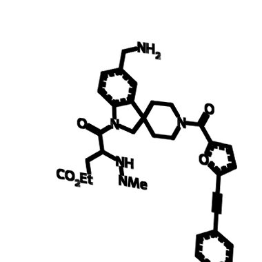 CCOC(=O)CC(NNC)C(=O)N1CC2(CCN(C(=O)c3ccc(C#Cc4ccccc4)o3)CC2)c2cc(CN)ccc21